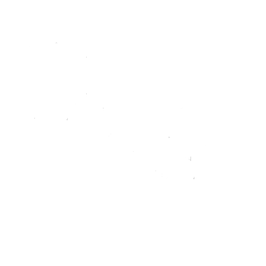 CCO[Si](C)(OCC)C1CCC=C(C2=CCCCCC2)CC1